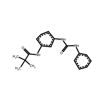 CC(C)(C)C(=O)Nc1cccc(NC(=O)Nc2ccccc2)c1